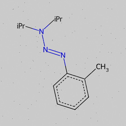 Cc1ccccc1/N=N/N(C(C)C)C(C)C